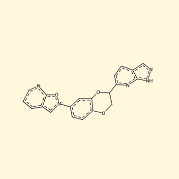 c1cnc2o[n+](-c3ccc4c(c3)OC(c3ccc5cn[nH]c5n3)CO4)cc2c1